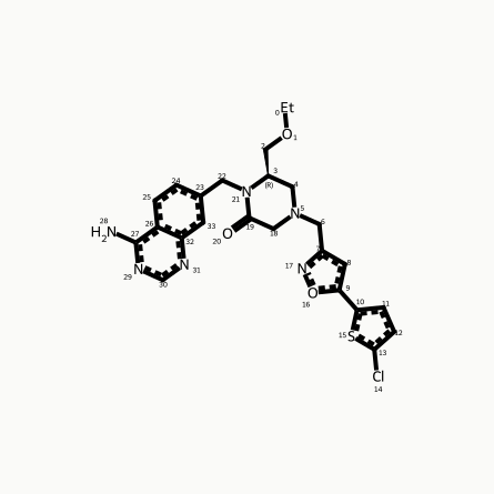 CCOC[C@H]1CN(Cc2cc(-c3ccc(Cl)s3)on2)CC(=O)N1Cc1ccc2c(N)ncnc2c1